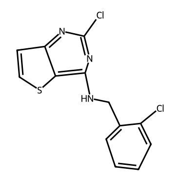 Clc1nc(NCc2ccccc2Cl)c2sccc2n1